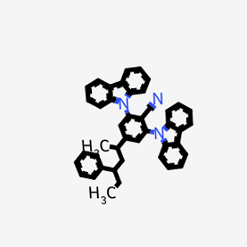 CCC(CC(C)c1cc(-n2c3ccccc3c3ccccc32)c(C#N)c(-n2c3ccccc3c3ccccc32)c1)c1ccccc1